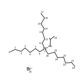 CCCCCCC[N+](CCC)(CCCCCCC)CCCCCCC.[Br-]